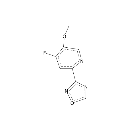 COc1cnc(-c2ncon2)cc1F